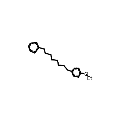 CCOc1ccc(CCCCCCCCc2ccccc2)cc1